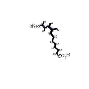 CCCCCC/C(C)=C(C)/C(C)=C(/C)CCCCCCCC(=O)O